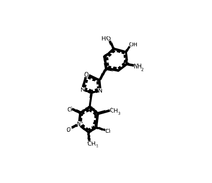 Cc1c(Cl)c(C)[n+]([O-])c(Cl)c1-c1noc(-c2cc(N)c(O)c(O)c2)n1